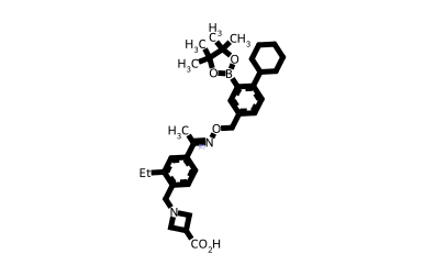 CCc1cc(/C(C)=N/OCc2ccc(C3CCCCC3)c(B3OC(C)(C)C(C)(C)O3)c2)ccc1CN1CC(C(=O)O)C1